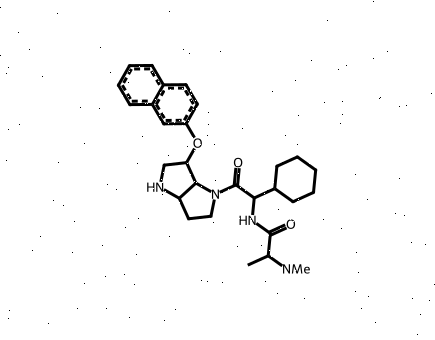 CNC(C)C(=O)NC(C(=O)N1CCC2NCC(Oc3ccc4ccccc4c3)C21)C1CCCCC1